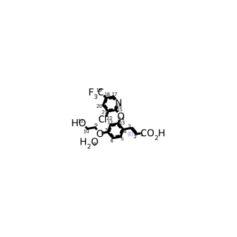 O.O=C(O)/C=C/c1ccc(OCCO)cc1Oc1ncc(C(F)(F)F)cc1Cl